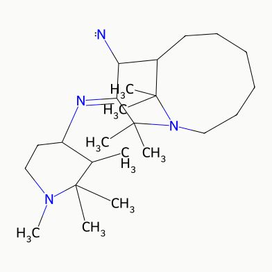 CC1C(N=C2C([N])C3CCCCCCN(C2(C)C)C3(C)C)CCN(C)C1(C)C